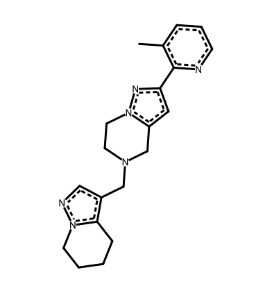 Cc1cccnc1-c1cc2n(n1)CCN(Cc1cnn3c1CCCC3)C2